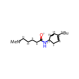 CCC(C)C1=CCC(NC(=O)CCCCNC)C=C1